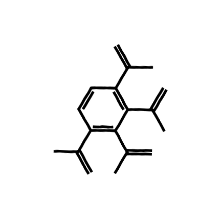 C=C(C)c1ccc(C(=C)C)c(C(=C)C)c1C(=C)C